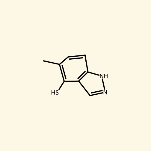 Cc1ccc2[nH]ncc2c1S